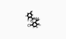 C=C(NC(=O)c1cc(C)ccc1C)c1cc(Cl)ccc1C